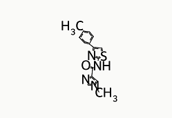 Cc1ccc(-c2csc(NC(=O)c3cn(C)cn3)n2)cc1